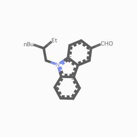 CCCCC(CC)Cn1c2ccccc2c2cc(C=O)ccc21